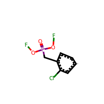 O=P(Cc1cc[c]cc1Cl)(OF)OF